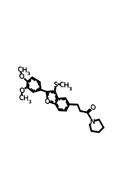 COc1ccc(-c2oc3ccc(CCC(=O)N4CCCCC4)cc3c2SC)cc1OC